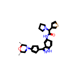 C[C@@H]1CN(c2ccc(-c3n[nH]c4ccc(NC(=O)C(c5ccsc5)N5CCCC5)cc34)cc2)C[C@H](C)O1